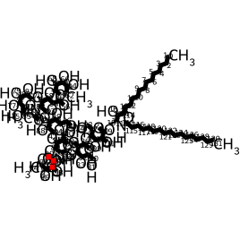 CCCCCCCCCCCCC/C=C/[C@@H](O)[C@H](CO[C@@H]1OC(CO)[C@@H](O[C@@H]2OC(CO)[C@H](O)[C@H](O[C@@H]3OC(CO)[C@@H](O[C@@H]4OC(CO)[C@H](O)[C@H](O[C@@H]5OC(CO)[C@@H](O[C@H]6OC(C)[C@@H](O)C(O)[C@@H]6O)[C@H](O[C@@H]6OC(CO)[C@H](O)[C@H](O)C6O)C5NC(C)=O)C4O)[C@H](O[C@H]4OC(C)[C@@H](O)C(O)[C@@H]4O)C3NC(C)=O)C2O)[C@H](O)C1O)NC(=O)CCCCCCCCCCCCCCCCC